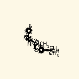 CN1C(=O)[C@@H](NC(=O)c2cc3ncn(-c4ccc(F)cc4)c3s2)COc2ccc(C#CC(C)(C)O)cc21